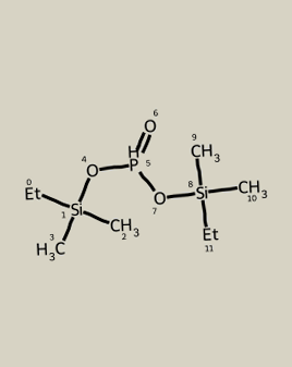 CC[Si](C)(C)O[PH](=O)O[Si](C)(C)CC